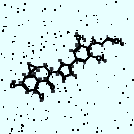 C=CCOc1c(C)cc(-c2nnc(N(CC3CC3)C(=O)c3ccc(Cl)cc3Cl)s2)cc1C